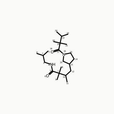 CC(C)CNC(=O)C(C)(C)C(C)CC1CCN(C(=O)C(C)(C)C(C)C)C1